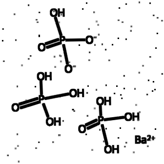 O=P(O)(O)O.O=P(O)(O)O.O=P([O-])([O-])O.[Ba+2]